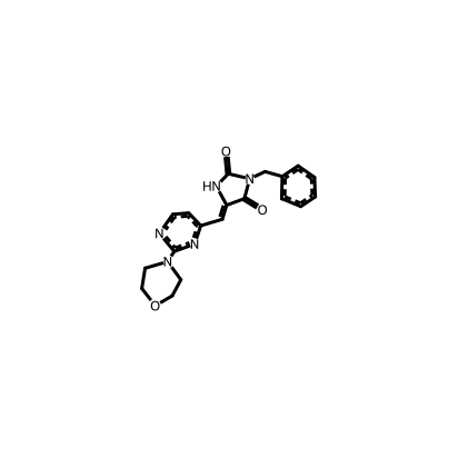 O=C1N/C(=C\c2ccnc(N3CCOCC3)n2)C(=O)N1Cc1ccccc1